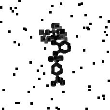 CC(C)(C)[Si](C)(C)Oc1ccccc1OS(=O)(=O)c1ccc([N+](=O)[O-])cc1